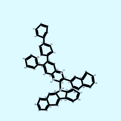 c1ccc(-c2ccc(-c3cc4nc(-c5ccc6ccccc6c5)c(-n5c6ccccc6c6cc7ccccc7cc65)nc4cc3-c3ccccc3)cc2)cc1